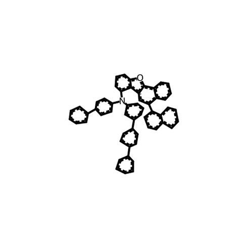 c1ccc(-c2ccc(-c3cccc(N(c4ccc(-c5ccccc5)cc4)c4cccc5oc6c7ccccc7c(-c7cccc8ccccc78)cc6c45)c3)cc2)cc1